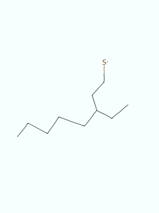 CCCCCC(CC)CC[S]